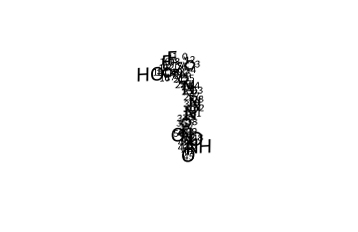 Cc1ccccc1[C@H]1CC(F)(F)c2cc(O)ccc2[C@H]1c1ccc(N2CCC(CN3CCN(c4ccc5c(c4)CN([C@H]4CCC(=O)NC4=O)C5=O)CC3)CC2)cc1